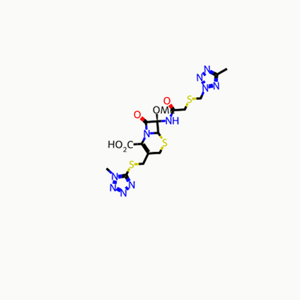 CO[C@]1(NC(=O)CSCn2nnc(C)n2)C(=O)N2C(C(=O)O)=C(CSc3nnnn3C)CSC21